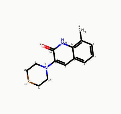 Cc1cccc2cc(N3CCSCC3)c(=O)[nH]c12